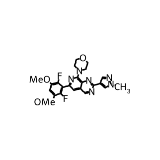 COc1cc(OC)c(F)c(-c2cc3cnc(-c4cnn(C)c4)nc3c(N3CCOCC3)n2)c1F